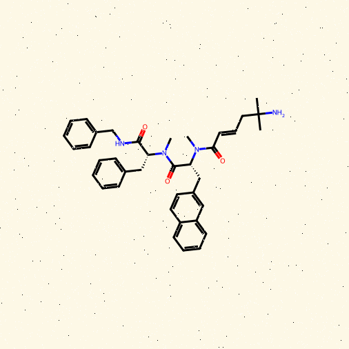 CN(C(=O)C=CCC(C)(C)N)[C@H](Cc1ccc2ccccc2c1)C(=O)N(C)[C@H](Cc1ccccc1)C(=O)NCc1ccccc1